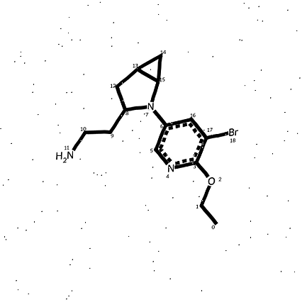 CCOc1ncc(N2C(CCN)CC3CC32)cc1Br